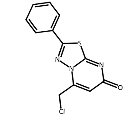 O=c1cc(CCl)n2nc(-c3ccccc3)sc2n1